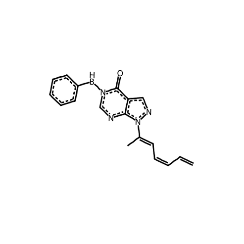 C=C/C=C\C=C(/C)n1ncc2c(=O)n(Bc3ccccc3)cnc21